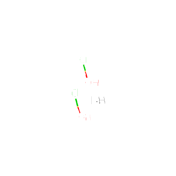 OCl.OCl.[LiH]